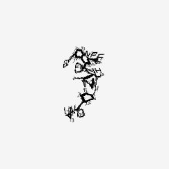 Cc1nn(Cc2ccc(C(=O)NC3CC3)cc2)c(C)c1NC(=O)c1cc(C(F)(F)F)nc2ccc(Br)cc12